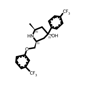 C[C@H]1C[C@@](O)(c2ccc(C(F)(F)F)cc2)C[C@@H](COc2cccc(C(F)(F)F)c2)N1